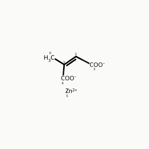 C/C(=C/C(=O)[O-])C(=O)[O-].[Zn+2]